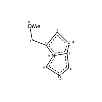 COCc1csc2cncn12